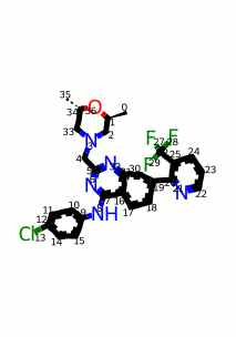 C[C@H]1CN(Cc2nc(Nc3ccc(Cl)cc3)c3ccc(-c4ncccc4C(F)(F)F)cc3n2)C[C@H](C)O1